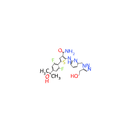 CC(C)(O)c1cc(F)c(-c2cc(C(N)=O)c(Nc3cccc(Cn4nncc4CCO)n3)s2)c(F)c1